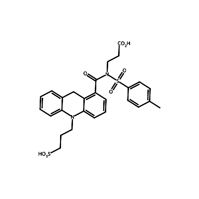 Cc1ccc(S(=O)(=O)N(CCC(=O)O)C(=O)c2cccc3c2Cc2ccccc2N3CCCS(=O)(=O)O)cc1